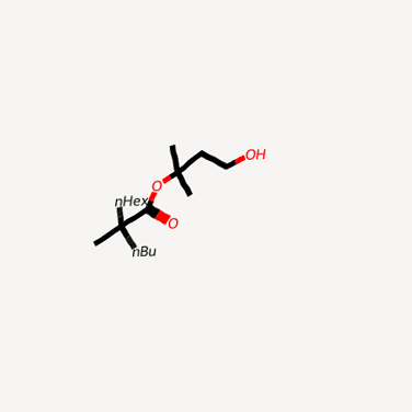 CCCCCCC(C)(CCCC)C(=O)OC(C)(C)CCO